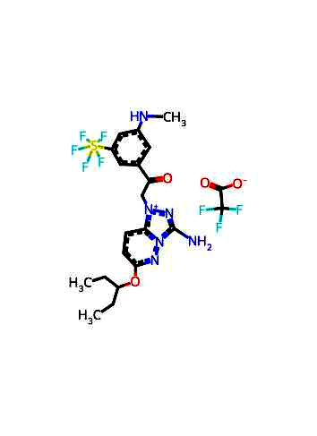 CCC(CC)Oc1ccc2n(n1)c(N)n[n+]2CC(=O)c1cc(NC)cc(S(F)(F)(F)(F)F)c1.O=C([O-])C(F)(F)F